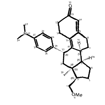 COC[C@@H]1CC[C@@H]2[C@@H]3CCC4=CC(=O)CCC4=C3[C@@H](c3ccc(N(C)C)cc3)C[C@]12C